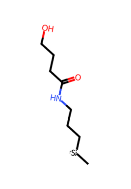 C[Si]CCCNC(=O)CCCO